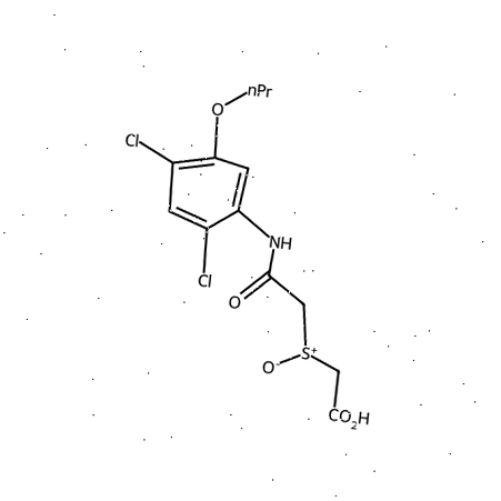 CCCOc1cc(NC(=O)C[S+]([O-])CC(=O)O)c(Cl)cc1Cl